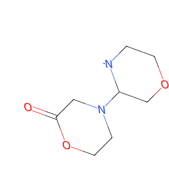 O=C1CN(C2COCC[N]2)CCO1